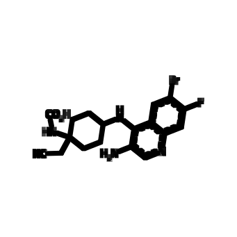 N#CCC1(NC(=O)O)CCC(Nc2c(N)cnc3cc(F)c(Br)cc23)CC1